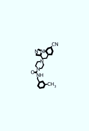 Cc1cccc(CNC(=O)N2CCN(C(Cc3ccc(C#N)cc3)c3cnc[nH]3)CC2)c1